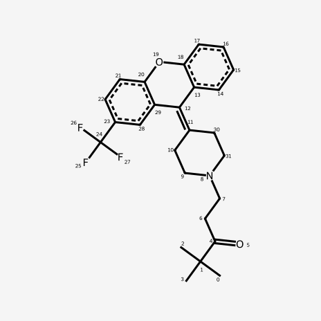 CC(C)(C)C(=O)CCN1CCC(=C2c3ccccc3Oc3ccc(C(F)(F)F)cc32)CC1